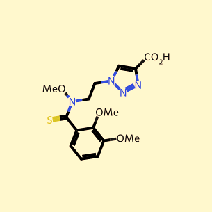 COc1cccc(C(=S)N(CCn2cc(C(=O)O)nn2)OC)c1OC